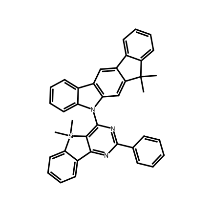 CC1(C)c2ccccc2-c2cc3c4ccccc4n(-c4nc(-c5ccccc5)nc5c4[Si](C)(C)c4ccccc4-5)c3cc21